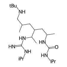 CC(CNC(C)(C)C)CC(CC(C)NC(=O)NC(C)C)C(C)NC(=N)NC(C)C